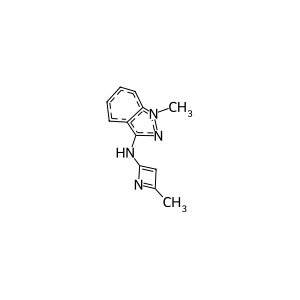 CC1=NC(Nc2nn(C)c3ccccc23)=C1